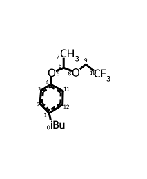 CCC(C)c1ccc(OC(C)OCC(F)(F)F)cc1